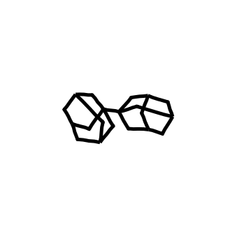 C1C2CC3CC1CC(C14CC5CC(CC(C5)C1)C4)(C2)C3